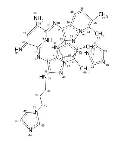 Cc1ccc2c(/N=C3\N/C(=N\c4c(NCCCn5ccnc5)nn5c(C)c(C)ccc45)C(N)=CC3=N)c(NCCCn3ccnc3)nn2c1C